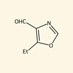 CCc1ocnc1C=O